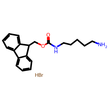 Br.NCCCCCNC(=O)OCC1c2ccccc2-c2ccccc21